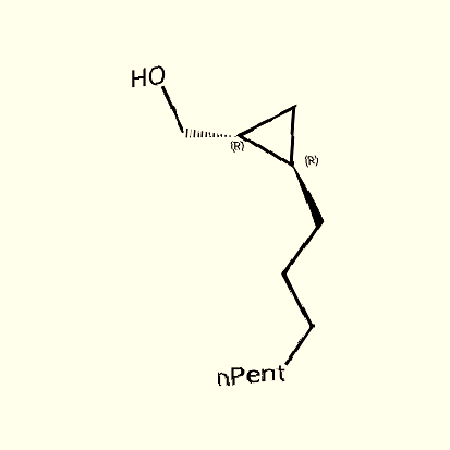 CCCCCCCC[C@@H]1C[C@H]1CO